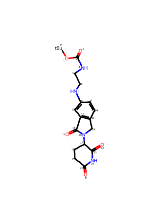 CC(C)(C)OC(=O)NCCNc1ccc2c(c1)C(=O)N(C1CCC(=O)NC1=O)C2